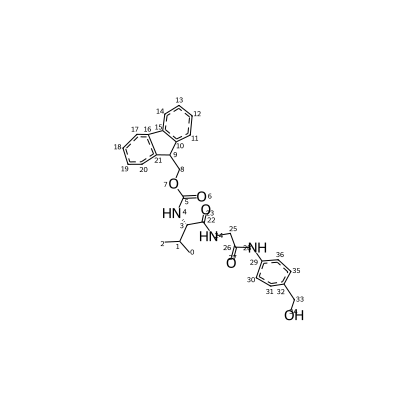 CC(C)[C@H](NC(=O)OCC1c2ccccc2-c2ccccc21)C(=O)NCC(=O)Nc1ccc(CO)cc1